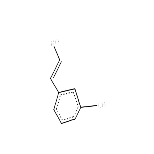 Cc1cccc(C=C[N+](=O)[O-])c1